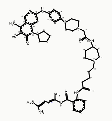 CO/C(N)=C/C=C(\N)NC(=O)c1ccccc1NC(=O)CCCCN1CCC(NC(=O)CN2CCN(c3ccc(Nc4ncc5c(C)c(C(C)=O)c(=O)n(C6CCCC6)c5n4)nc3)CC2)CC1